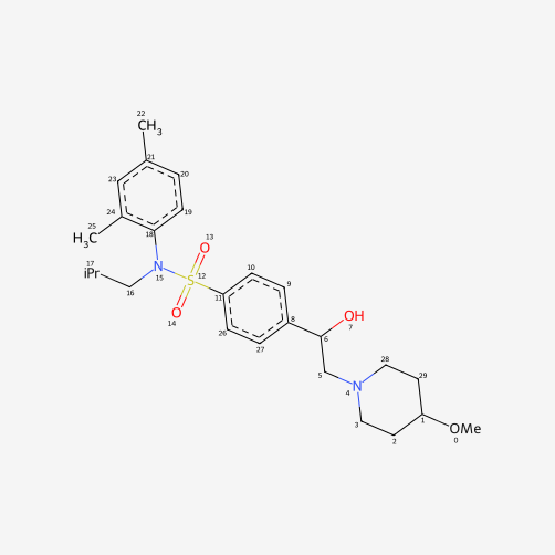 COC1CCN(CC(O)c2ccc(S(=O)(=O)N(CC(C)C)c3ccc(C)cc3C)cc2)CC1